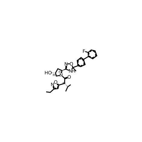 CCc1cc([C@H](C(=O)N2C[C@H](O)C[C@H]2C2=NOC(C)(c3ccc(-c4ccccc4F)cc3)N2)C(C)C)on1